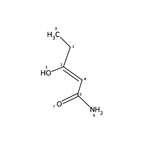 CC/C(O)=C/C(N)=O